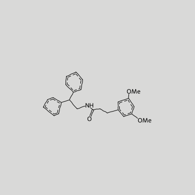 COc1cc(CCC(=O)NCC(c2ccccc2)c2ccccc2)cc(OC)c1